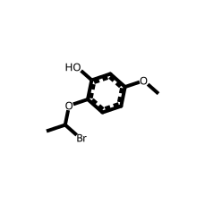 COc1ccc(OC(C)Br)c(O)c1